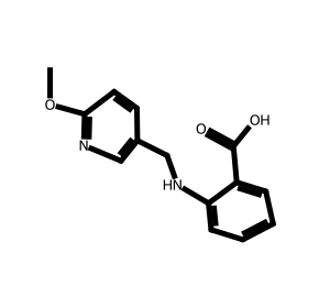 COc1ccc(CNc2ccccc2C(=O)O)cn1